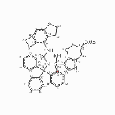 CO[C@@H]1COc2c(S(=N)(=O)N(C(=O)Nc3c4c(cc5c3CC5)CCC4)C(c3ccccc3)(c3ccccc3)c3ccccc3)cnn2C1